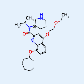 CCOCCOc1cc(C(=O)N(C(C)C)[C@@H]2CCCNC2)nc2c(OC3CCCCCC3)cccc12